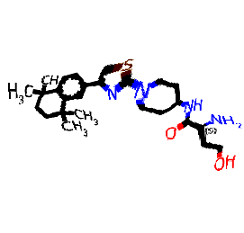 CC1(C)CCC(C)(C)c2cc(-c3csc(N4CCC(NC(=O)[C@@H](N)CCO)CC4)n3)ccc21